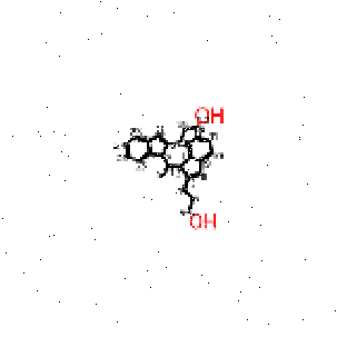 CC(C1C(CCCO)=Cc2ccccc21)C1C(CCCO)=Cc2ccccc21